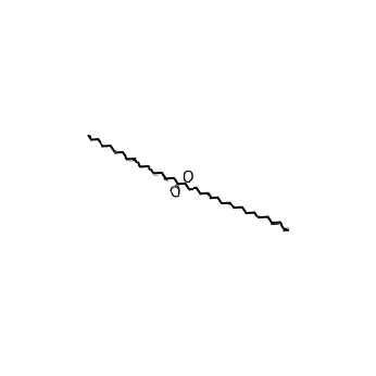 CCCCCCCCCCCCCCCCCCC(=O)C(=O)CCCCCCCCCCCCCCC